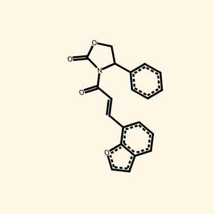 O=C(C=Cc1cccc2ccoc12)N1C(=O)OCC1c1ccccc1